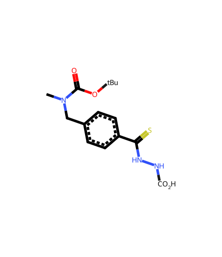 CN(Cc1ccc(C(=S)NNC(=O)O)cc1)C(=O)OC(C)(C)C